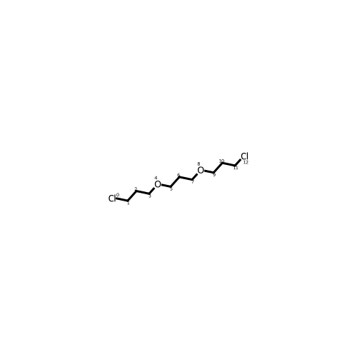 ClCCCOCCCOCCCCl